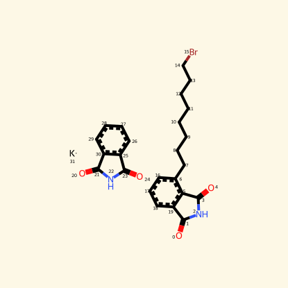 O=C1NC(=O)c2c(CCCCCCCCBr)cccc21.O=C1NC(=O)c2ccccc21.[K]